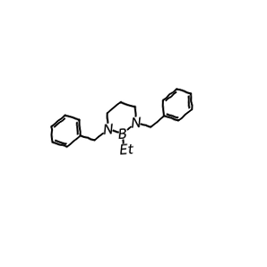 CCB1N(Cc2ccccc2)CCCN1Cc1ccccc1